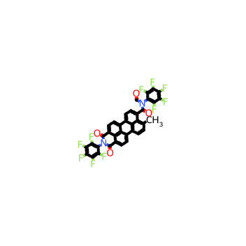 Cc1ccc2c3ccc4c5c(ccc(c6ccc(C(=O)N(C=O)c7c(F)c(F)c(F)c(F)c7F)c1c26)c53)C(=O)N(c1c(F)c(F)c(F)c(F)c1F)C4=O